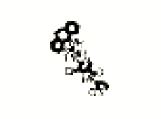 O=C(N[C@@H]1CCSC1=O)c1cnc(NNC(=S)NC2c3ccccc3CCc3ccccc32)c(Cl)c1